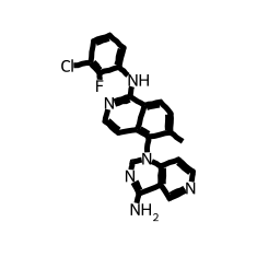 Cc1ccc2c(Nc3cccc(Cl)c3F)nccc2c1N1CN=C(N)c2cnccc21